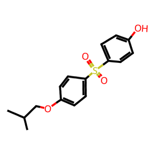 CC(C)COc1ccc(S(=O)(=O)c2ccc(O)cc2)cc1